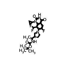 C[C@H](NC(=O)OC(C)(C)C)[C@@H]1CCN(c2c(F)cc3c(=O)[nH]c(=O)n(C4CC4)c3c2C(F)F)C1